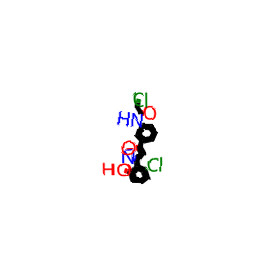 O=C(CCl)Nc1cccc(-c2cc(-c3c(O)cccc3Cl)no2)c1